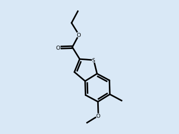 CCOC(=O)c1cc2cc(OC)c(C)cc2s1